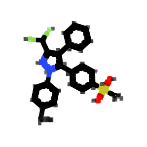 CC(=O)Nc1ccc(-n2nc(C(F)F)c(-c3ccccc3)c2-c2ccc(S(C)(=O)=O)cc2)cc1